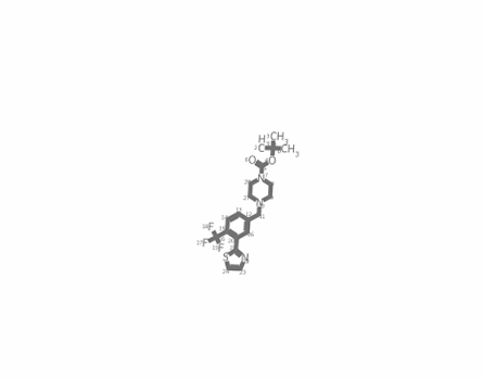 CC(C)(C)OC(=O)N1CCN(Cc2ccc(C(F)(F)F)c(-c3nccs3)c2)CC1